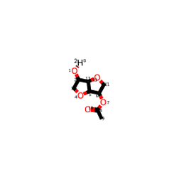 [2H]OC1COC2C(OC(C)=O)COC12